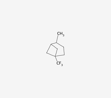 CC1CCC2(C(F)(F)F)CC1C2